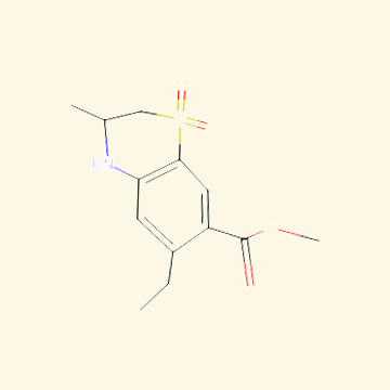 CCc1cc2c(cc1C(=O)OC)S(=O)(=O)CC(C)N2